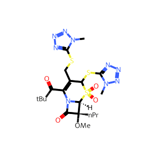 CCC[C@@]1(OC)C(=O)N2C(C(=O)C(C)(C)C)=C(CSc3nnnn3C)C(Sc3nnnn3C)S(=O)(=O)[C@H]21